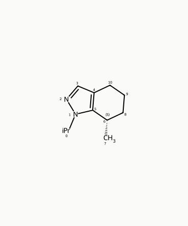 CC(C)n1ncc2c1[C@@H](C)CCC2